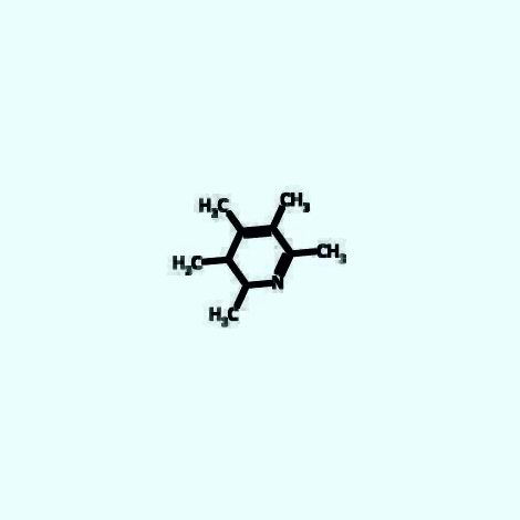 CC1=NC(C)C(C)C(C)=C1C